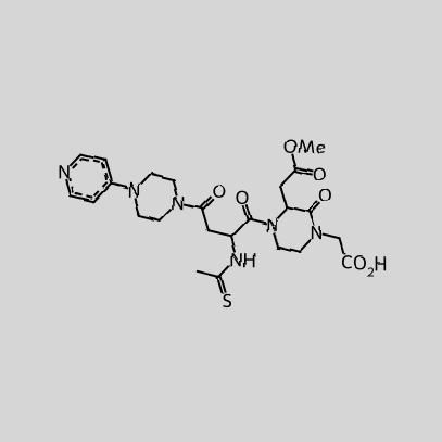 COC(=O)CC1C(=O)N(CC(=O)O)CCN1C(=O)C(CC(=O)N1CCN(c2ccncc2)CC1)NC(C)=S